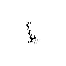 O=C(O)C(=COCCOCCO)C(=O)O